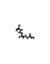 C=CC(=C)CCC=C(C)CCCC(=C)C